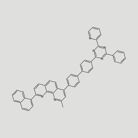 Cc1cc(-c2ccc(-c3ccc(-c4nc(-c5ccccc5)nc(-c5ccccn5)n4)cc3)cc2)c2ccc3ccc(-c4cccc5ccccc45)nc3c2n1